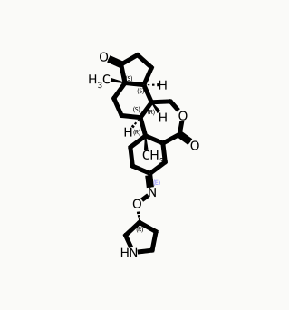 C[C@]12CC/C(=N\O[C@@H]3CCNC3)CC1C(=O)OC[C@@H]1[C@@H]2CC[C@]2(C)C(=O)CC[C@@H]12